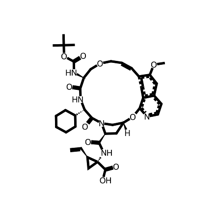 C=C[C@@H]1C[C@]1(NC(=O)[C@@H]1C[C@@H]2CN1C(=O)[C@H](C1CCCCC1)NC(=O)[C@@H](NC(=O)OC(C)(C)C)COCC=Cc1cc3c(nccc3cc1OC)O2)C(=O)O